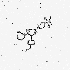 CN(C)S(=O)(=O)N1CCN(c2cnc(N3CCSCC3)c(-c3ccc(CI)cc3)n2)CC1